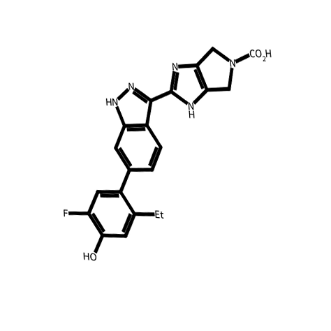 CCc1cc(O)c(F)cc1-c1ccc2c(-c3nc4c([nH]3)CN(C(=O)O)C4)n[nH]c2c1